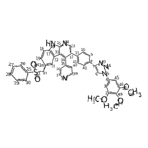 COc1cc(-n2cc(-c3ccc(-c4cnc5[nH]c6ccc(CS(=O)(=O)c7ccccc7)cc6c5c4-c4ccncc4)cc3)nn2)cc(OC)c1OC